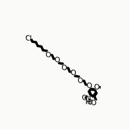 COc1cc(CO)c([N+](=O)[O-])cc1OCCOCCOCCOCCOCCOCCCCCCCl